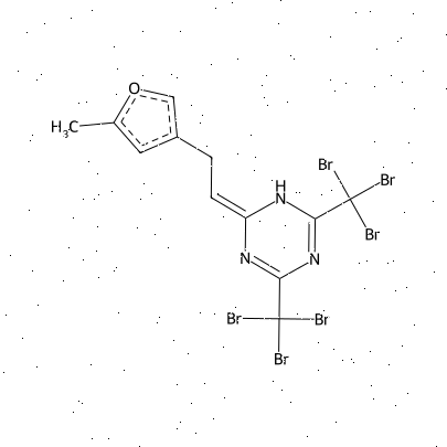 Cc1cc(CC=C2N=C(C(Br)(Br)Br)N=C(C(Br)(Br)Br)N2)co1